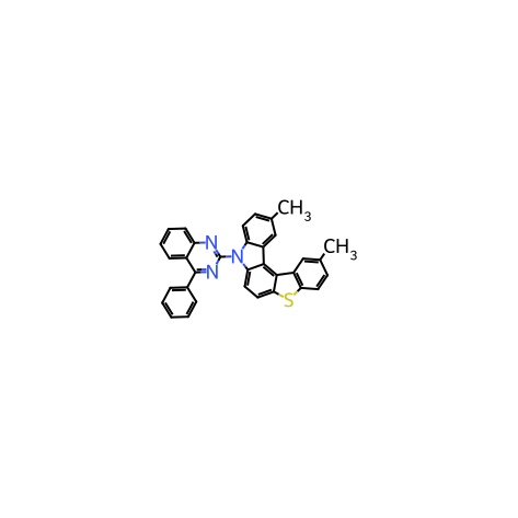 Cc1ccc2sc3ccc4c(c5cc(C)ccc5n4-c4nc(-c5ccccc5)c5ccccc5n4)c3c2c1